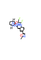 Cc1ncc(-c2ccc3nnc(NC(=O)N4[C@@H]5CC[C@H]4C[C@H](NC(CF)CF)C5)cc3c2)o1